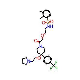 Cc1cccc(S(=O)(=O)NCCOCC(=O)N2CCC(OCCN3CCCC3)(c3ccc(C(F)(F)F)cc3)CC2)c1C